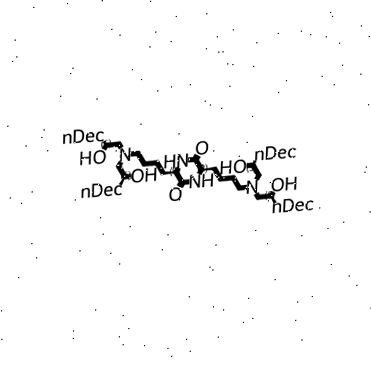 CCCCCCCCCC[C@H](O)CN(CCCC[C@H]1NC(=O)[C@@H](CCCCN(C[C@@H](O)CCCCCCCCCC)C[C@@H](O)CCCCCCCCCC)NC1=O)C[C@@H](O)CCCCCCCCCC